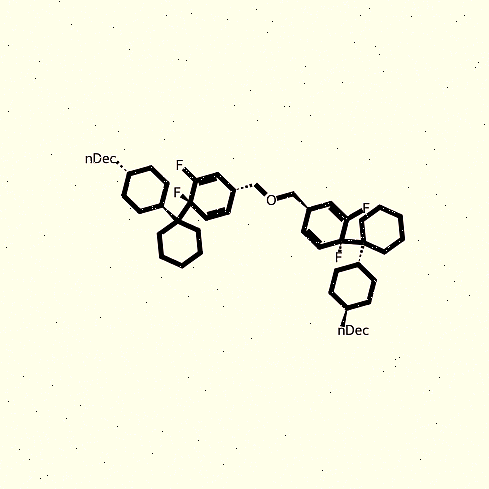 CCCCCCCCCC[C@H]1CC[C@H](C2([C@@]3(F)C=C[C@@H](COC[C@@H]4C=C[C@](F)(C5([C@H]6CC[C@H](CCCCCCCCCC)CC6)CCCCC5)C(F)=C4)C=C3F)CCCCC2)CC1